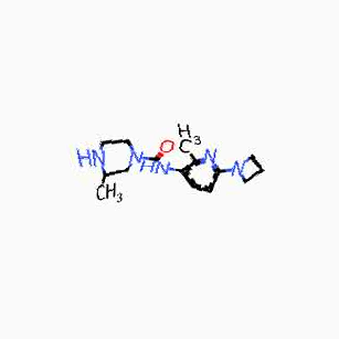 Cc1nc(N2CCC2)ccc1NC(=O)N1CCNC(C)C1